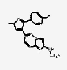 Cn1cc(-c2ccc3nc(NC(=O)O)cn3n2)c(-c2ccc(F)cc2)n1